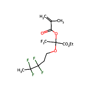 C=C(C)C(=O)OC(OCCC(F)(F)C(C)(F)F)(C(=O)OCC)C(F)(F)F